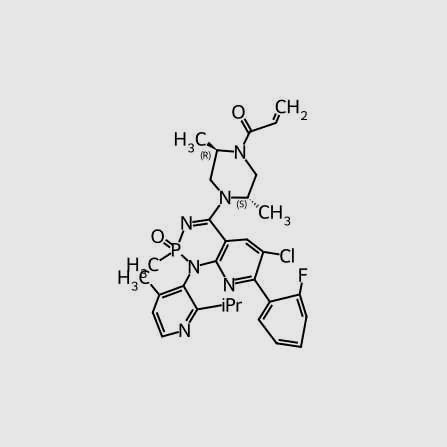 C=CC(=O)N1C[C@H](C)N(C2=NP(C)(=O)N(c3c(C)ccnc3C(C)C)c3nc(-c4ccccc4F)c(Cl)cc32)C[C@H]1C